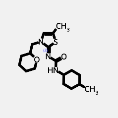 Cc1cn(CC2CCCCO2)/c(=N/C(=O)NC2CCC(C)CC2)s1